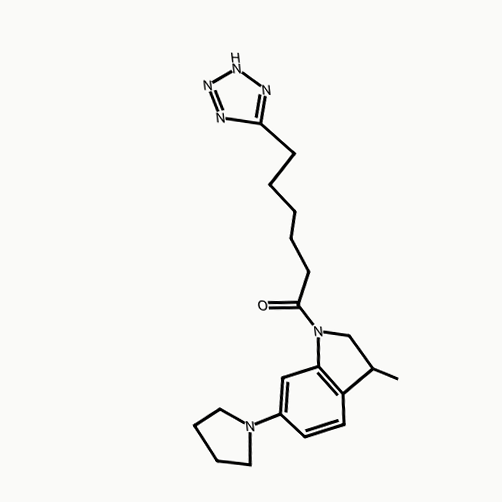 CC1CN(C(=O)CCCCCc2nn[nH]n2)c2cc(N3CCCC3)ccc21